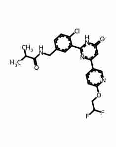 CC(C)C(=O)NCc1ccc(Cl)c(-c2nc(-c3ccc(OCC(F)F)nc3)cc(=O)[nH]2)c1